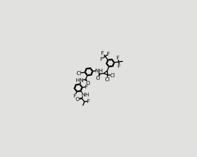 CC(F)C(=O)Nc1c(F)ccc(NC(=O)c2cc(NC(=O)C3C(c4cc(C(C)(F)F)cc(C(F)(F)F)c4)C3(Cl)Cl)ccc2Cl)c1F